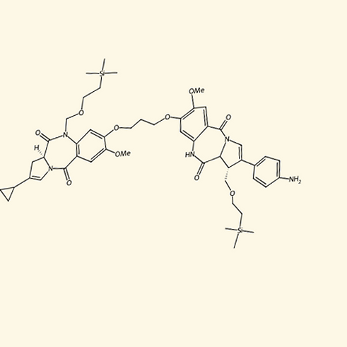 COc1cc2c(cc1OCCCOc1cc3c(cc1OC)C(=O)N1C=C(C4CC4)C[C@H]1C(=O)N3COCC[Si](C)(C)C)NC(=O)C1[C@@H](COCC[Si](C)(C)C)C(c3ccc(N)cc3)=CN1C2=O